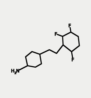 NC1CCC(CCC2C(F)CCC(F)C2F)CC1